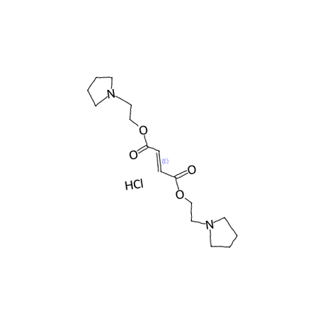 Cl.O=C(/C=C/C(=O)OCCN1CCCC1)OCCN1CCCC1